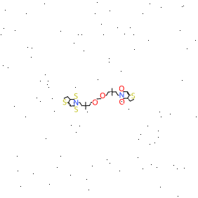 CC(C)(CCOCCOCCC(C)(C)CCN1C(=S)C=C2SCCC2C1=S)CCN1C(=O)C=C2SCCC2C1=O